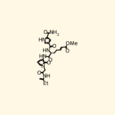 C=C(CC)NC(=O)Cn1cccc(NC(=O)[C@H](CC/C=C/C(=O)OC)NC(=O)c2c[nH]c(C(N)=O)c2)c1=O